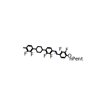 CCCCCOc1ccc(/C=C/c2ccc(C3CCC(c4ccc(C)c(F)c4F)CC3)c(F)c2F)c(F)c1F